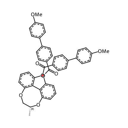 COc1ccc(-c2ccc(C(=O)Oc3cccc4c3-c3c(OC(=O)c5ccc(-c6ccc(OC)cc6)cc5)cccc3O[C@H](C)CO4)cc2)cc1